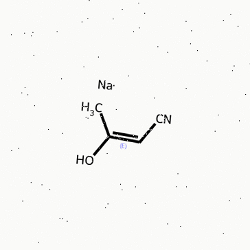 C/C(O)=C\C#N.[Na]